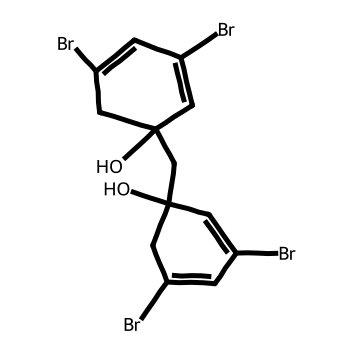 OC1(CC2(O)C=C(Br)C=C(Br)C2)C=C(Br)C=C(Br)C1